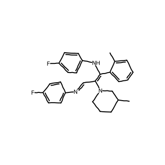 Cc1ccccc1C(Nc1ccc(F)cc1)=C(C=Nc1ccc(F)cc1)N1CCCC(C)C1